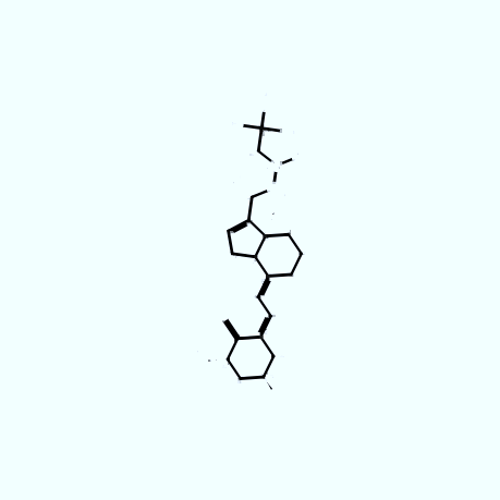 C=C1C(=CC=C2CCC[C@]3(C)C([C@H](C)ON(CC(F)(F)C(F)(F)F)C(C)=O)=CCC23)C[C@@H](O)C[C@@H]1O